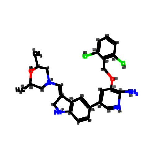 CC1CN(C=C2CNc3ccc(-c4cnc(N)c(OCc5c(Cl)cccc5Cl)c4)cc32)CC(C)O1